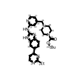 CCc1nccc(-c2ccc3nc(Nc4cc(CN5CCN(C(=O)OC(C)(C)C)CC5)ccn4)[nH]c3c2)n1